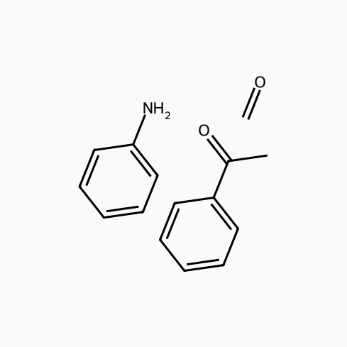 C=O.CC(=O)c1ccccc1.Nc1ccccc1